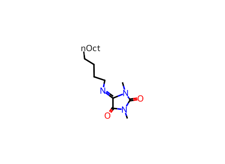 CCCCCCCCCCCCN=C1C(=O)N(C)C(=O)N1C